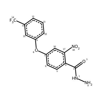 NNC(=O)c1ccc(Oc2cccc(C(F)(F)F)c2)cc1[N+](=O)[O-]